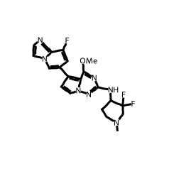 COc1nc(NC2CCN(C)CC2(F)F)nn2ccc(-c3cc(F)c4nccn4c3)c12